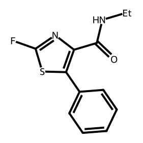 CCNC(=O)c1nc(F)sc1-c1ccccc1